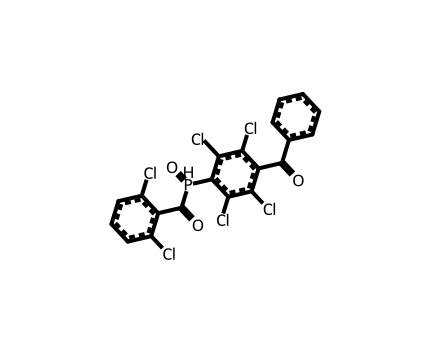 O=C(c1ccccc1)c1c(Cl)c(Cl)c([PH](=O)C(=O)c2c(Cl)cccc2Cl)c(Cl)c1Cl